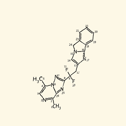 Cc1ncc(C)n2nc(C(F)(F)Cc3cn4c(n3)-c3ccccc3C4)nc12